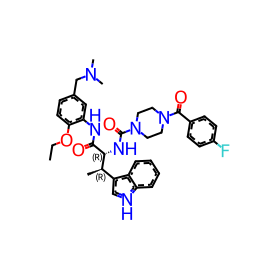 CCOc1ccc(CN(C)C)cc1NC(=O)[C@H](NC(=O)N1CCN(C(=O)c2ccc(F)cc2)CC1)[C@H](C)c1c[nH]c2ccccc12